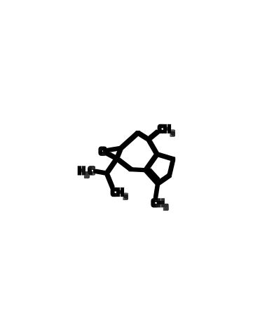 CC1=C2CC3(C(C)C)OC3CC(C)C2CC1